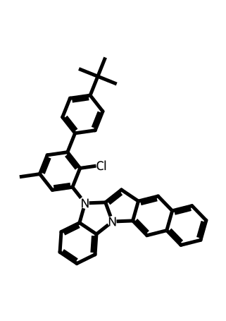 Cc1cc(-c2ccc(C(C)(C)C)cc2)c(Cl)c(-n2c3ccccc3n3c4cc5ccccc5cc4cc23)c1